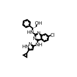 OC[C@H](Nc1nc(Nc2cc(C3CC3)[nH]n2)c2ccc(Cl)cc2n1)c1ccccc1